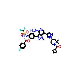 C[C@H](Oc1cc(-c2nn(C)c3c(-c4cnn(C5CCN(C(=O)C6CCC6)C(C)(C)C5)c4)cnc(N)c23)ccc1NS(=O)(=O)C(F)F)c1ccc(F)cc1